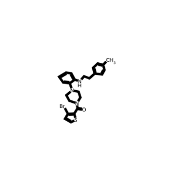 Cc1ccc(CCNc2ccccc2N2CCN(C(=O)c3sccc3Br)CC2)cc1